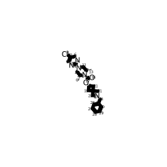 C[C@@H]1CN(c2ncc(Cl)cn2)C[C@H](C)N1C(=O)OC1CC2(C1)CN(Cc1ccccc1)C2